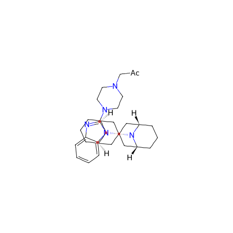 CC(=O)CN1CCN(c2nc3ccccc3n2[C@H]2C[C@H]3CCC[C@@H](C2)N3[C@H]2C[C@@H]3CCC[C@@H](C3)C2)CC1